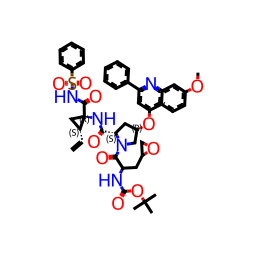 C=C[C@@H]1C[C@]1(NC(=O)[C@@H]1C[C@@H](Oc2cc(-c3ccccc3)nc3cc(OC)ccc23)CN1C(=O)C(CC1CO1)NC(=O)OC(C)(C)C)C(=O)NS(=O)(=O)c1ccccc1